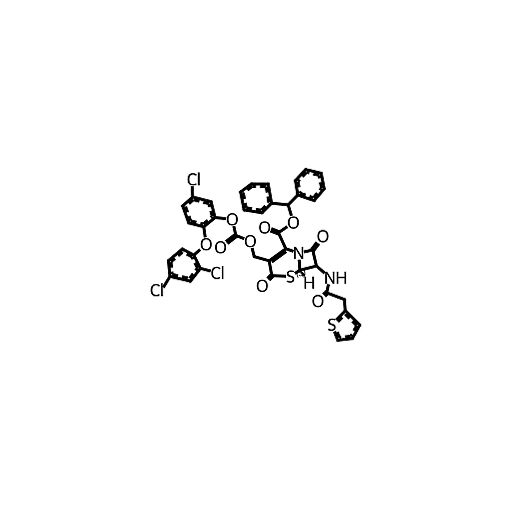 O=C(Cc1cccs1)NC1C(=O)N2C(C(=O)OC(c3ccccc3)c3ccccc3)=C(COC(=O)Oc3cc(Cl)ccc3Oc3ccc(Cl)cc3Cl)C(=O)S[C@@H]12